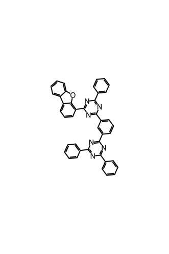 c1ccc(-c2nc(-c3ccccc3)nc(-c3cccc(-c4nc(-c5ccccc5)nc(-c5cccc6c5oc5ccccc56)n4)c3)n2)cc1